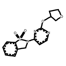 O=S1(=O)c2ccccc2CN1c1ccnc(OC2CCOC2)n1